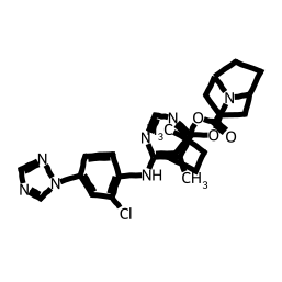 Cc1c(Nc2ccc(-n3cncn3)cc2Cl)ncnc1OC1CC2CCC(C1)N2C(=O)OC1(C)CCC1